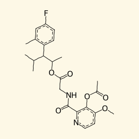 COc1ccnc(C(=O)NCC(=O)OC(C)C(c2ccc(F)cc2C)C(C)C)c1OC(C)=O